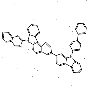 c1ccc(-c2ccc(-n3c4ccccc4c4ccc(-c5ccc6c(ccc7c6c6ccccc6n7-c6ncc7ccccc7n6)c5)cc43)cc2)cc1